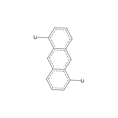 [Li][c]1cccc2cc3[c]([Li])cccc3cc12